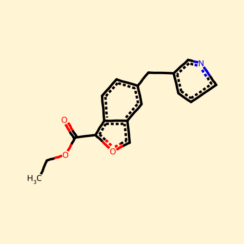 CCOC(=O)c1occ2cc(Cc3cccnc3)ccc12